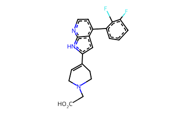 O=C(O)CN1CC=C(c2cc3c(-c4cccc(F)c4F)ccnc3[nH]2)CC1